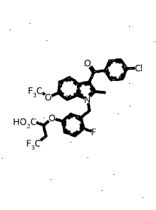 Cc1c(C(=O)c2ccc(Cl)cc2)c2ccc(OC(F)(F)F)cc2n1Cc1cc(OC(CC(F)(F)F)C(=O)O)ccc1F